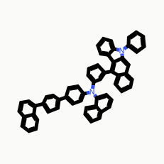 c1ccc(-n2c3ccccc3c3c(-c4cccc(N(c5ccc(-c6ccc(-c7cccc8ccccc78)cc6)cc5)c5cccc6ccccc56)c4)c4ccccc4cc32)cc1